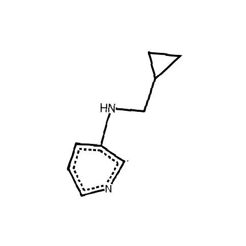 [c]1ncccc1NCC1CC1